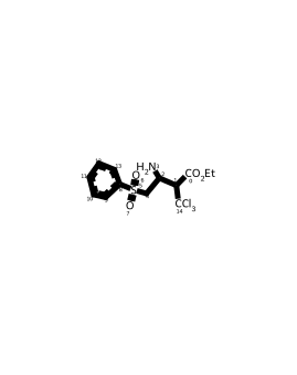 CCOC(=O)C(C(N)CS(=O)(=O)c1ccccc1)C(Cl)(Cl)Cl